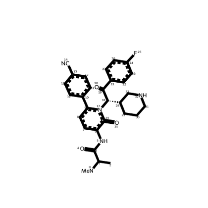 CNC(C)C(=O)Nc1ccc(-c2ccc(C#N)cc2)n([C@H](C(=O)c2ccc(F)cc2)C2CCCNC2)c1=O